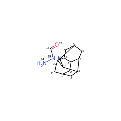 C1C2CC3C4CC5CC(C14)C(C2)C3C5.NNC=O